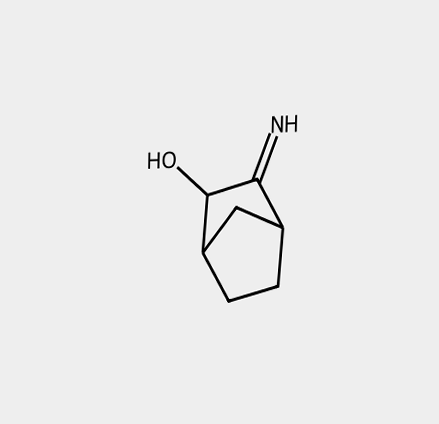 N=C1C2CCC(C2)C1O